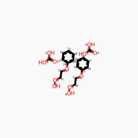 O=C(O)O.O=C(O)O.OOCCOc1ccccc1.OOCCOc1ccccc1